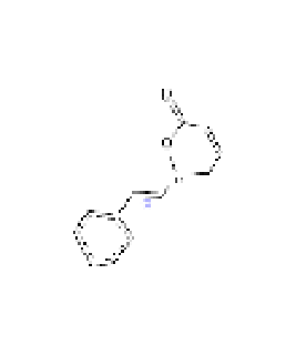 O=C1C=CC[C@H](/C=C/c2ccccc2)O1